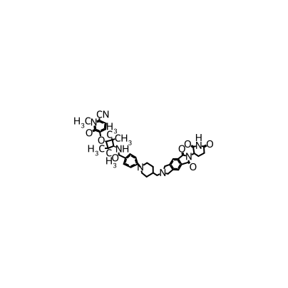 Cn1c(C#N)ccc(O[C@H]2C(C)(C)[C@H](NC(=O)c3ccc(N4CCC(CN5Cc6cc7c(cc6C5)C(=O)N(C5CCC(=O)NC5=O)C7=O)CC4)cc3)C2(C)C)c1=O